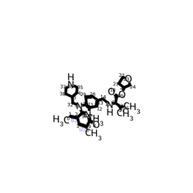 C/C=C(\C=C(\C)C(C)=O)c1nc2cc(CNC(C(=O)OC3CCOC3)C(C)C)ccc2n1CC1CCNCC1